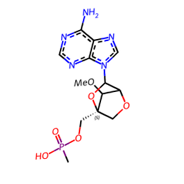 COC1C2OC[C@@]1(COP(C)(=O)O)OC2n1cnc2c(N)ncnc21